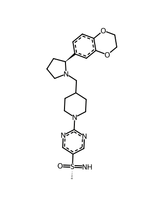 C[S@](=N)(=O)c1cnc(N2CCC(CN3CCC[C@H]3c3ccc4c(c3)OCCO4)CC2)nc1